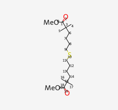 COC(=O)C(C)(C)CCCCSCCCCC(C)(C)C(=O)OC